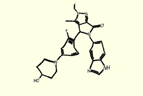 Cc1c2c(nn1C)C(=O)N(c1ccc3[nH]cnc3c1)C2c1ccc(N2CCC(O)CC2)cc1F